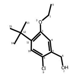 CCOc1cc(CO)c(Cl)cc1C(C)(C)C